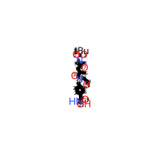 CC(C)(C)OC(=O)N1CC2(CC(C(=O)N3CCOc4cc(C(=O)NO)ccc4C3)CO2)C1